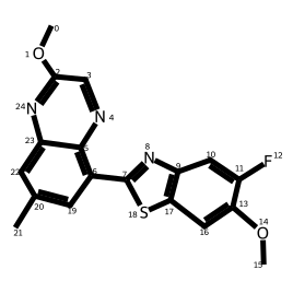 COc1cnc2c(-c3nc4cc(F)c(OC)cc4s3)cc(C)cc2n1